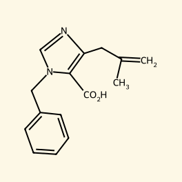 C=C(C)Cc1ncn(Cc2ccccc2)c1C(=O)O